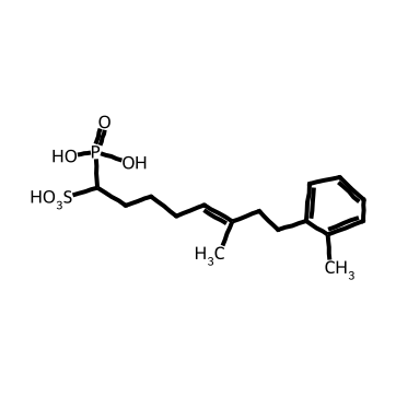 C/C(=C\CCCC(P(=O)(O)O)S(=O)(=O)O)CCc1ccccc1C